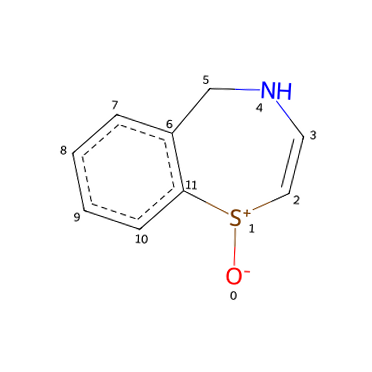 [O-][S+]1C=CNCc2ccccc21